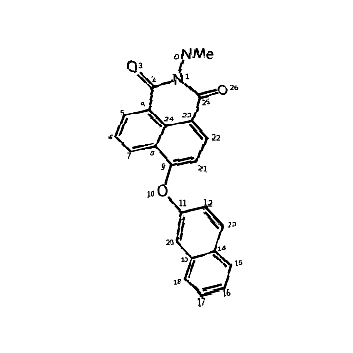 CNN1C(=O)c2cccc3c(Oc4ccc5ccccc5c4)ccc(c23)C1=O